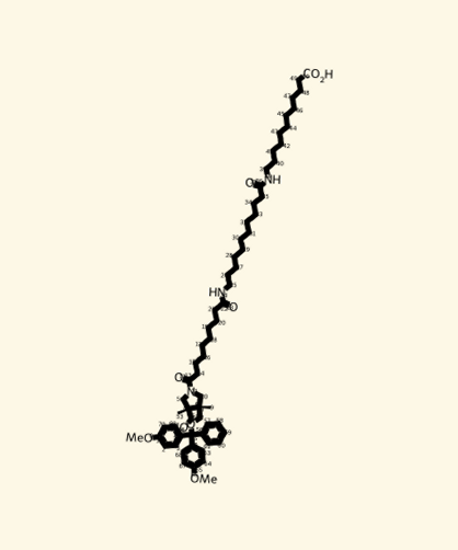 COc1ccc(C(OC[C@@]2(C)CN(C(=O)CCCCCCCCC(=O)NCCCCCCCCCCCC(=O)NCCCCCCCCCCCC(=O)O)C[C@@]2(C)CO)(c2ccccc2)c2ccc(OC)cc2)cc1